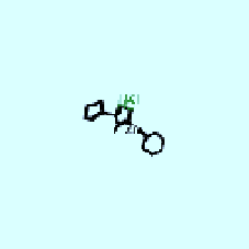 CC1=[C]([Zr]=[C]2CCCCC2)CC=C1C1=CC=CC1.Cl.Cl